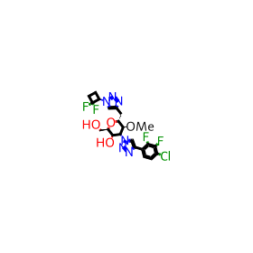 CO[C@@H]1[C@@H](n2cc(-c3ccc(Cl)c(F)c3F)nn2)[C@@H](O)[C@@H](CO)O[C@@H]1Cc1cn([C@@H]2CCC2(F)F)nn1